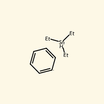 C[CH2][SnH]([CH2]C)[CH2]C.[c]1ccccc1